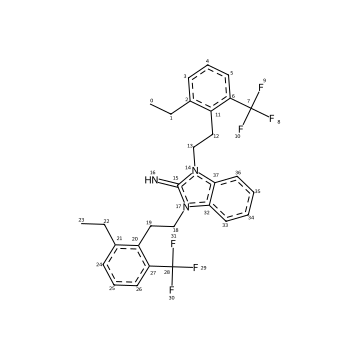 CCc1cccc(C(F)(F)F)c1CCn1c(=N)n(CCc2c(CC)cccc2C(F)(F)F)c2ccccc21